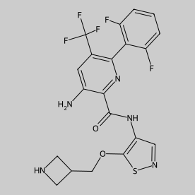 Nc1cc(C(F)(F)F)c(-c2c(F)cccc2F)nc1C(=O)Nc1cnsc1OCC1CNC1